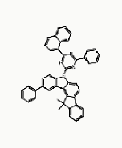 CC1(C)c2ccccc2-c2ccc3c(c21)c1cc(-c2ccccc2)ccc1n3-c1nc(-c2ccccc2)nc(-c2cccc3ccccc23)n1